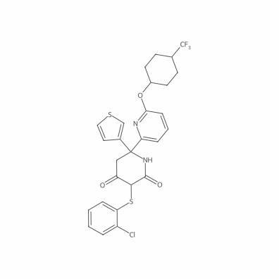 O=C1CC(c2ccsc2)(c2cccc(OC3CCC(C(F)(F)F)CC3)n2)NC(=O)C1Sc1ccccc1Cl